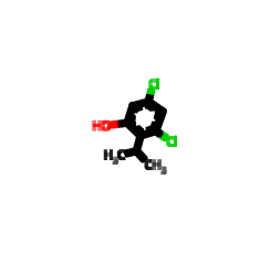 CC(C)c1c(O)cc(Cl)cc1Cl